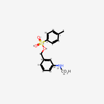 Cc1ccc(S(=O)(=O)OCc2cccc(NC(=O)O)c2)cc1